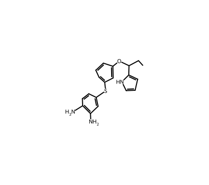 CCC(Oc1cccc(Sc2ccc(N)c(N)c2)c1)c1ccc[nH]1